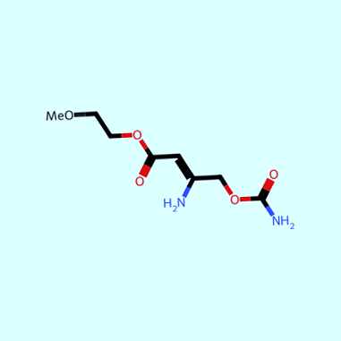 COCCOC(=O)/C=C(\N)COC(N)=O